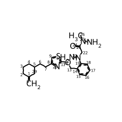 C=C1CCCC(CCc2csc(OCc3ccccc3N(N)CC(=O)N(C)N)n2)C1